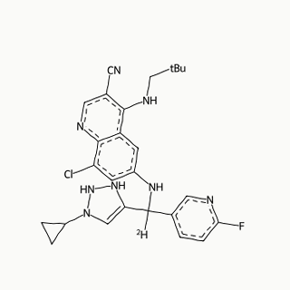 [2H]C(Nc1cc(Cl)c2ncc(C#N)c(NCC(C)(C)C)c2c1)(C1=CN(C2CC2)NN1)c1ccc(F)nc1